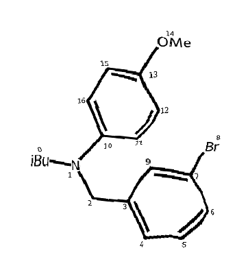 CCC(C)N(Cc1cccc(Br)c1)c1ccc(OC)cc1